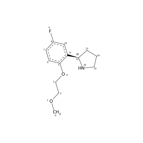 COCCOc1ccc(F)cc1[C@H]1CCCN1